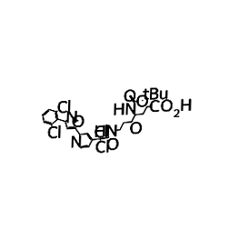 CC(C)(C)OC(=O)NC(CCC(=O)O)C(=O)CCNC(=O)C(Cl)(Cl)c1ccnc(-c2cc(-c3c(Cl)cccc3Cl)no2)c1